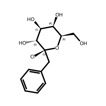 OC[C@H]1O[C@](Cl)(Cc2ccccc2)[C@H](O)[C@@H](O)[C@H]1O